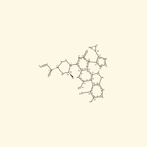 C=CC(=O)N1CCN(c2nc(=O)n(-c3nocc3C3CC3)c3c4c(c(Cl)cc23)-c2c(ccc(C)c2F)CO4)[C@@H](C)C1